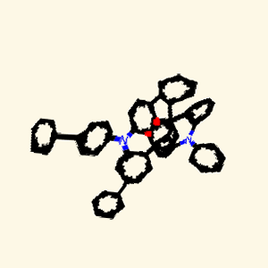 c1ccc(-c2ccc(N(c3ccc4c(c3)C3(c5ccccc5-4)c4ccccc4N(c4ccccc4)c4ccccc43)c3cc(-c4ccccc4)ccc3-c3ccccc3)cc2)cc1